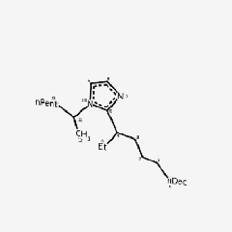 CCCCCCCCCCCCCC(CC)c1nccn1C(C)CCCCC